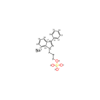 O=S(=O)([O-])OCCCC1C=C(c2ccccc2)c2ccccc21.[Na+]